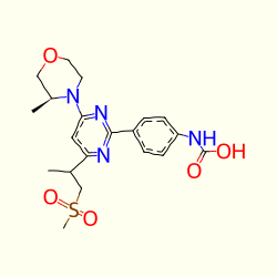 CC(CS(C)(=O)=O)c1cc(N2CCOC[C@@H]2C)nc(-c2ccc(NC(=O)O)cc2)n1